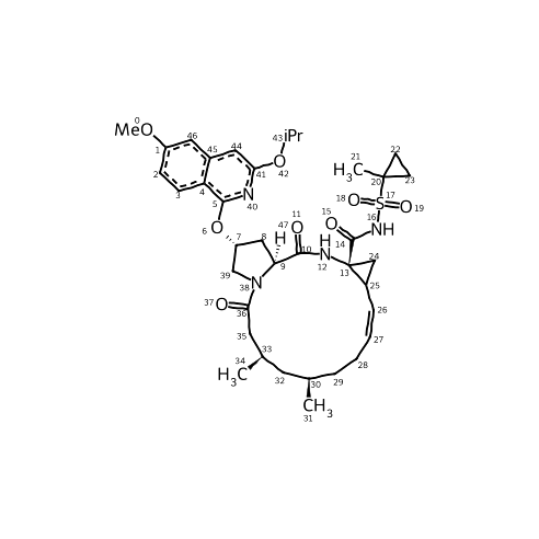 COc1ccc2c(O[C@@H]3C[C@H]4C(=O)N[C@]5(C(=O)NS(=O)(=O)C6(C)CC6)CC5/C=C\CC[C@@H](C)C[C@@H](C)CC(=O)N4C3)nc(OC(C)C)cc2c1